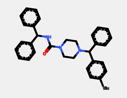 CC(C)(C)c1ccc(C(c2ccccc2)N2CCN(C(=O)NC(c3ccccc3)c3ccccc3)CC2)cc1